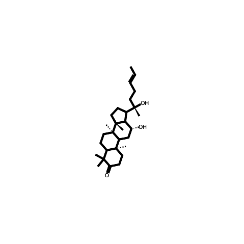 C/C=C/CC[C@](C)(O)C1CC[C@]2(C)C1[C@H](O)CC1[C@@]3(C)CCC(=O)C(C)(C)C3CC[C@]12C